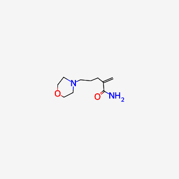 C=C(CCCN1CCOCC1)C(N)=O